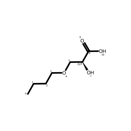 CCCCOC[C@H](O)C(=O)O